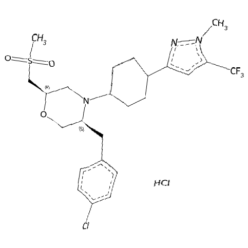 Cl.Cn1nc(C2CCC(N3C[C@H](CS(C)(=O)=O)OC[C@@H]3Cc3ccc(Cl)cc3)CC2)cc1C(F)(F)F